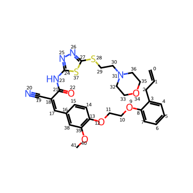 C=CCc1ccccc1OCCOc1ccc(C=C(C#N)C(=O)Nc2nnc(SCCN3CCOCC3)s2)cc1OC